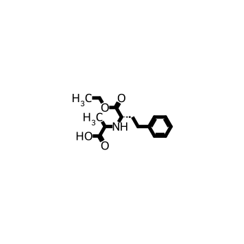 CCOC(=O)[C@H](CCc1ccccc1)NC(C)C(=O)O